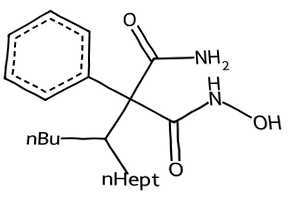 CCCCCCCC(CCCC)C(C(N)=O)(C(=O)NO)c1ccccc1